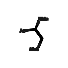 CN[C@@H](CSC)C(C)=O